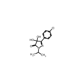 CC(C)N1N=C(c2ccc(Cl)cc2)C(O)(O)C1=O